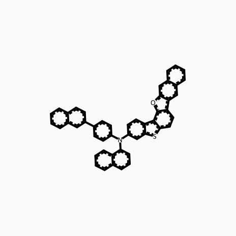 c1ccc2cc(-c3ccc(N(c4ccc5c(c4)sc4ccc6c7cc8ccccc8cc7oc6c45)c4cccc5ccccc45)cc3)ccc2c1